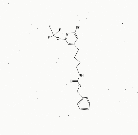 O=C(NCCCCc1cc(Br)cc(OC(F)(F)F)c1)OCc1ccccc1